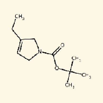 CCC1=CCN(C(=O)OC(C)(C)C)C1